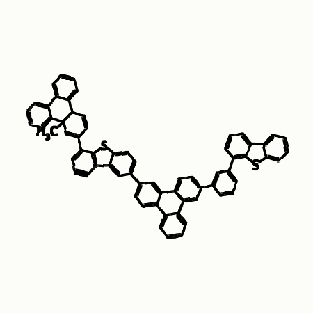 CC12C=C(c3cc#cc4c3sc3ccc(-c5ccc6c7ccccc7c7cc(-c8cccc(-c9cccc%10c9sc9ccccc9%10)c8)ccc7c6c5)cc34)C=CC1c1ccccc1-c1ccccc12